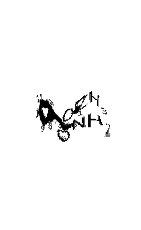 CCOC(C(N)=O)c1ccccc1